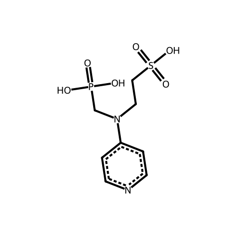 O=P(O)(O)CN(CCS(=O)(=O)O)c1ccncc1